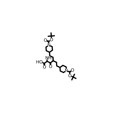 CC(C)(C)OC(=O)N1CCC(CCC(CCC2CCN(C(=O)OC(C)(C)C)CC2)C(=O)C(N)C(=O)O)CC1